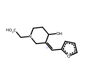 O=C(O)CN1CCC(O)/C(=C\c2ccco2)C1